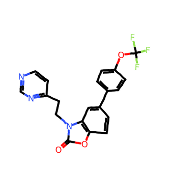 O=c1oc2ccc(-c3ccc(OC(F)(F)F)cc3)cc2n1CCc1ccncn1